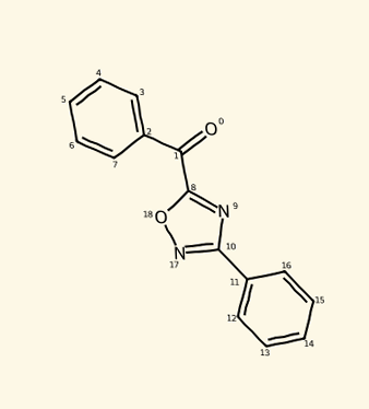 O=C(c1ccccc1)c1nc(-c2ccccc2)no1